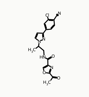 CC(=O)c1nc(C(=O)NCC(C)n2ccc(-c3ccc(C#N)c(Cl)c3)n2)co1